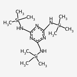 C[Si](C)(C)Nc1nc(N[Si](C)(C)C)nc(N[Si](C)(C)C)n1